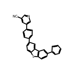 N#Cc1cncc(-c2ccc(-c3ccc4sc5ccc(-c6ccccc6)cc5c4c3)cc2)c1